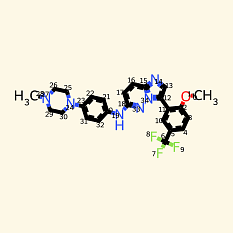 COc1ccc(C(F)(F)F)cc1-c1cnc2ccc(Nc3ccc(N4CCN(C)CC4)cc3)nn12